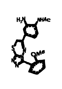 COc1ccccc1-c1nnc2n1N=C(c1ccc(NC(C)=O)c(N)c1)CS2